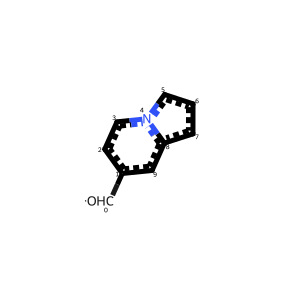 O=[C]c1ccn2cccc2c1